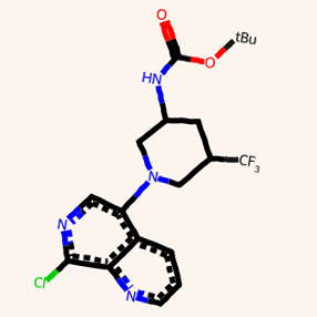 CC(C)(C)OC(=O)NC1CC(C(F)(F)F)CN(c2cnc(Cl)c3ncccc23)C1